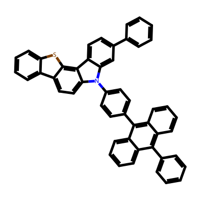 c1ccc(-c2ccc3c4c5sc6ccccc6c5ccc4n(-c4ccc(-c5c6ccccc6c(-c6ccccc6)c6ccccc56)cc4)c3c2)cc1